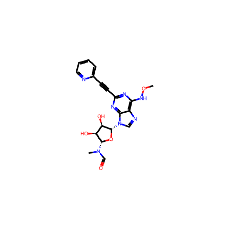 CONc1nc(C#Cc2ccccn2)nc2c1ncn2[C@@H]1O[C@H](N(C)C=O)[C@@H](O)[C@H]1O